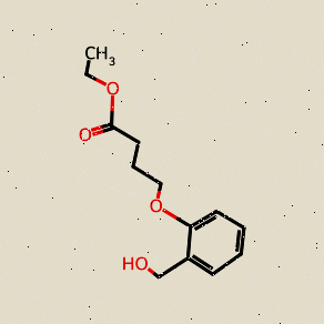 CCOC(=O)CCCOc1ccccc1CO